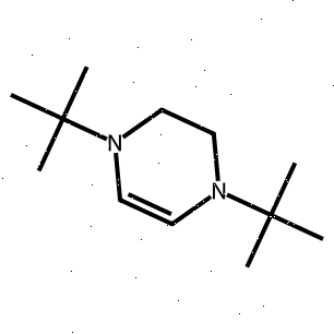 CC(C)(C)N1C=CN(C(C)(C)C)CC1